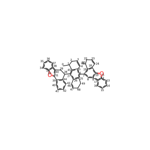 CC1CC=Cc2c(-c3cc4c(oc5ccccc54)c4c3C(C)CC=C4)c3c(c(C4Cc5c(oc6ccccc56)-c5ccccc54)c21)C=CCC3